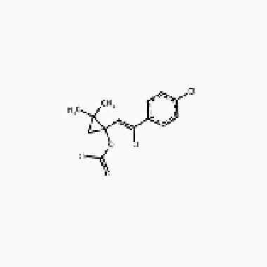 CC1(C)CC1(C=C(Cl)c1ccc(Cl)cc1)OC(=O)Cl